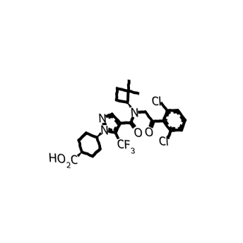 CC1(C)CC[C@@H]1N(CC(=O)c1c(Cl)cccc1Cl)C(=O)c1cnn([C@H]2CC[C@@H](C(=O)O)CC2)c1C(F)(F)F